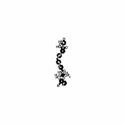 CC1(C)C(NC(=O)c2ccc(N3CCC(CN4CCN(c5ccc6c(c5)C(O)N(C5CCC(=O)NC5=O)C6=O)CC4)CC3)nc2)C(C)(C)C1Oc1ccc(C#N)c2ncccc12